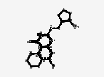 CN1CCCC1COc1nc2cc(Br)c3c(c2c(=O)[nH]1)OCCC3